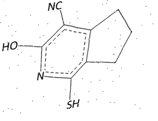 N#Cc1c(O)nc(S)c2c1CCC2